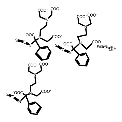 O=C([O-])CN(CCN(CC(=O)[O-])C(N=C=S)(C(=O)[O-])c1ccccc1)CC(=O)[O-].O=C([O-])CN(CCN(CC(=O)[O-])C(N=C=S)(C(=O)[O-])c1ccccc1)CC(=O)[O-].O=C([O-])CN(CCN(CC(=O)[O-])C(N=C=S)(C(=O)[O-])c1ccccc1)CC(=O)[O-].[Eu+3].[Eu+3].[Eu+3].[Eu+3]